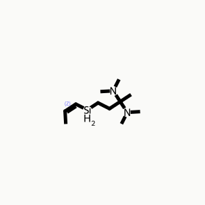 C/C=C\[SiH2]CCC(C)(N(C)C)N(C)C